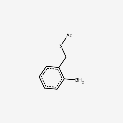 Bc1ccccc1CSC(C)=O